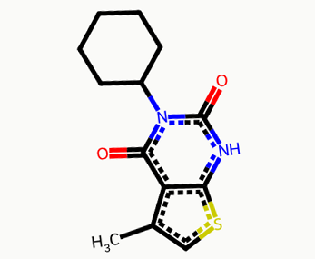 Cc1csc2[nH]c(=O)n(C3CCCCC3)c(=O)c12